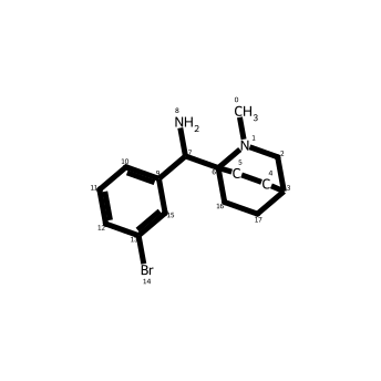 CN1CC2CCC1(C(N)c1cccc(Br)c1)CC2